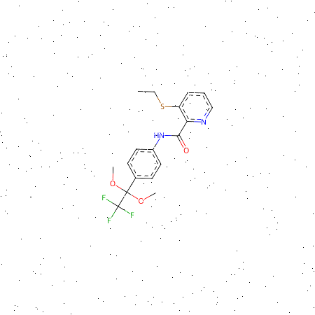 CCSc1cccnc1C(=O)Nc1ccc(C(OC)(OC)C(F)(F)F)cc1